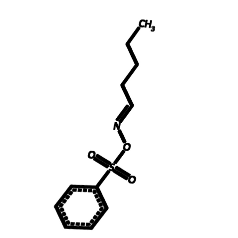 CCCC/C=N/OS(=O)(=O)c1ccccc1